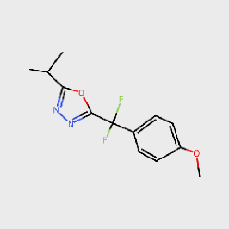 COc1ccc(C(F)(F)c2nnc(C(C)C)o2)cc1